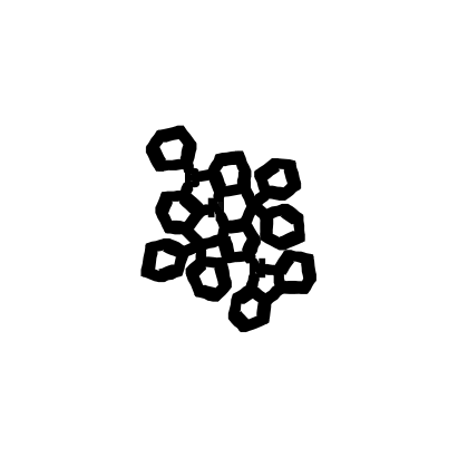 c1ccc(B2c3cccc4c3N3c5c2cccc5C(c2ccccc2)(c2ccccc2)c2cc(-n5c6ccccc6c6ccccc65)cc(c23)C4(c2ccccc2)c2ccccc2)cc1